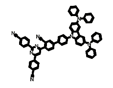 N#Cc1ccc(-c2cc(-c3ccc(-c4ccc(-n5c6ccc(N(c7ccccc7)c7ccccc7)cc6c6cc(N(c7ccccc7)c7ccccc7)ccc65)cc4)cc3C#N)nc(-c3ccc(C#N)cc3)n2)cc1